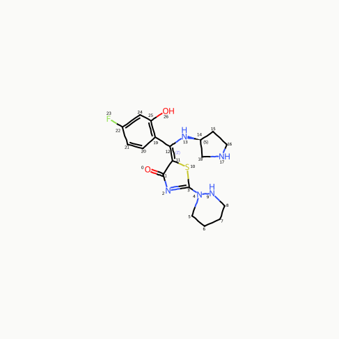 O=C1N=C(N2CCCCN2)S/C1=C(\N[C@H]1CCNC1)c1ccc(F)cc1O